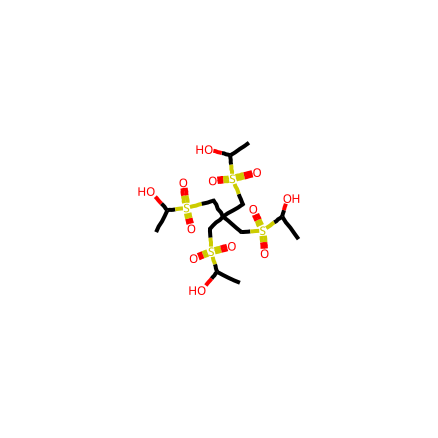 CC(O)S(=O)(=O)CC(CS(=O)(=O)C(C)O)(CS(=O)(=O)C(C)O)CS(=O)(=O)C(C)O